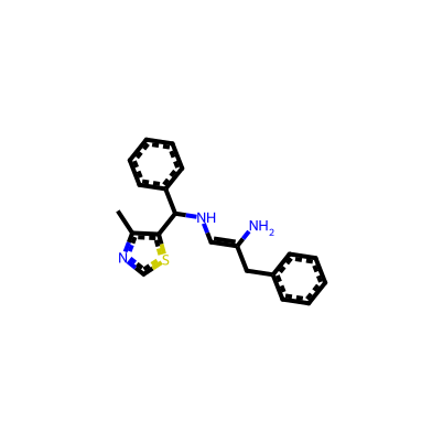 Cc1ncsc1C(N/C=C(\N)Cc1ccccc1)c1ccccc1